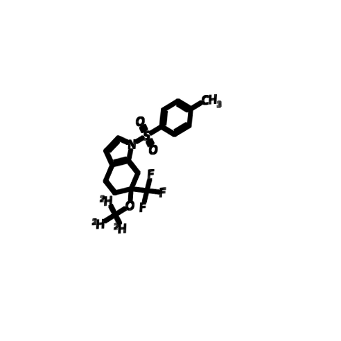 [2H]C([2H])([2H])OC1(C(F)(F)F)CCc2ccn(S(=O)(=O)c3ccc(C)cc3)c2C1